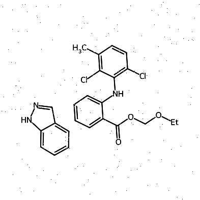 CCOCOC(=O)c1ccccc1Nc1c(Cl)ccc(C)c1Cl.c1ccc2[nH]ncc2c1